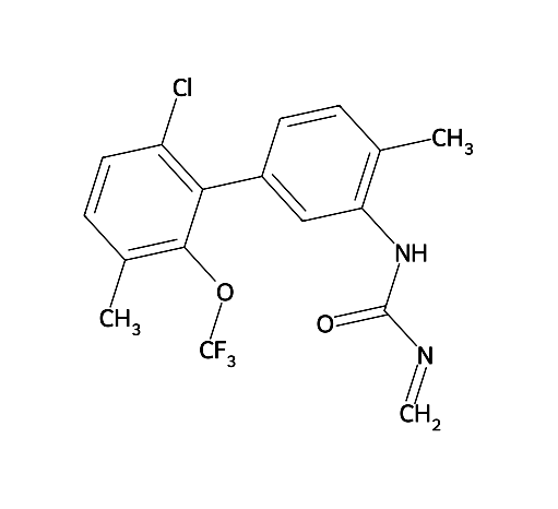 C=NC(=O)Nc1cc(-c2c(Cl)ccc(C)c2OC(F)(F)F)ccc1C